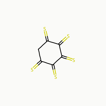 S=C1CC(=S)C(=S)C(=S)C1=S